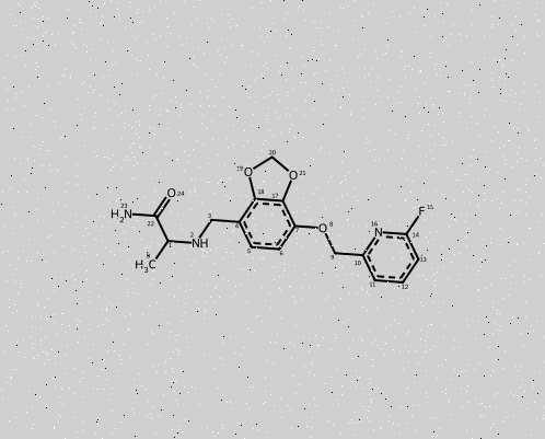 CC(NCc1ccc(OCc2cccc(F)n2)c2c1OCO2)C(N)=O